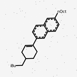 CCCCCCCCc1ccc2cc(C3=CCC(CC(C)CC)CC3)ccc2c1